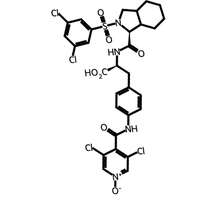 O=C(Nc1ccc(C[C@H](NC(=O)[C@@H]2C3CCCCC3CN2S(=O)(=O)c2cc(Cl)cc(Cl)c2)C(=O)O)cc1)c1c(Cl)c[n+]([O-])cc1Cl